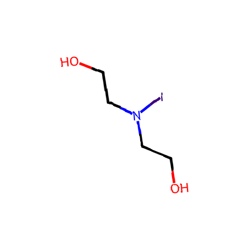 OCCN(I)CCO